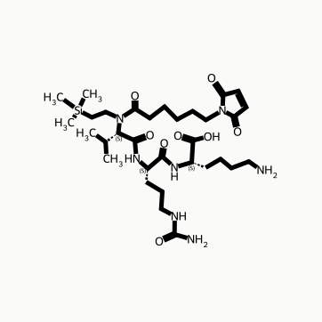 CC(C)[C@@H](C(=O)N[C@@H](CCCNC(N)=O)C(=O)N[C@@H](CCCCN)C(=O)O)N(CC[Si](C)(C)C)C(=O)CCCCCN1C(=O)C=CC1=O